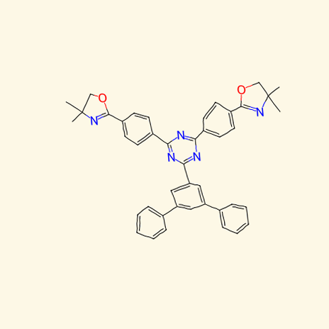 CC1(C)COC(c2ccc(-c3nc(-c4ccc(C5=NC(C)(C)CO5)cc4)nc(-c4cc(-c5ccccc5)cc(-c5ccccc5)c4)n3)cc2)=N1